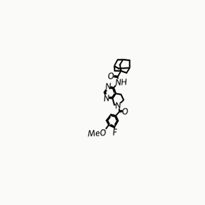 COc1ccc(C(=O)N2CCc3c(ncnc3NC(=O)C34CC5CC(CC(C5)C3)C4)C2)cc1F